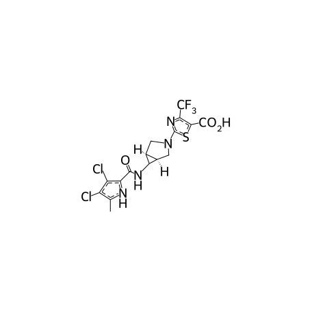 Cc1[nH]c(C(=O)NC2[C@H]3CN(c4nc(C(F)(F)F)c(C(=O)O)s4)C[C@@H]23)c(Cl)c1Cl